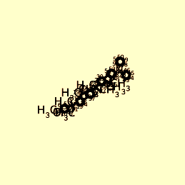 CCC(C)(c1ccc(OC)cc1)c1ccc2c(c1)C(C)(C)c1cc(C(C)(CC)c3ccc4c(c3)C(C)(C)c3cc(N(c5ccccc5)c5ccccc5)ccc3-4)ccc1-2